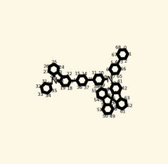 c1ccc(-c2ccc(N(c3ccc(-c4ccc(-c5ccc6c(c5)c5ccccc5n6-c5ccccc5)cc4)cc3)c3ccc4c(c3)C3(c5ccccc5-c5ccccc53)c3ccccc3-4)cc2)cc1